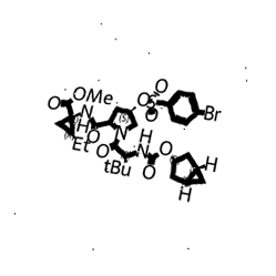 CC[C@@H]1C[C@]1(NC(=O)C1C[C@H](OS(=O)(=O)c2ccc(Br)cc2)CN1C(=O)[C@@H](NC(=O)O[C@@H]1C[C@@H]2C[C@@H]2C1)C(C)(C)C)C(=O)OC